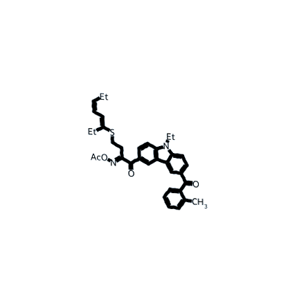 CC/C=C\C=C(/CC)SCC/C(=N\OC(C)=O)C(=O)c1ccc2c(c1)c1cc(C(=O)c3ccccc3C)ccc1n2CC